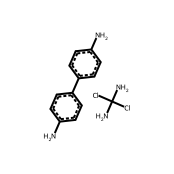 NC(N)(Cl)Cl.Nc1ccc(-c2ccc(N)cc2)cc1